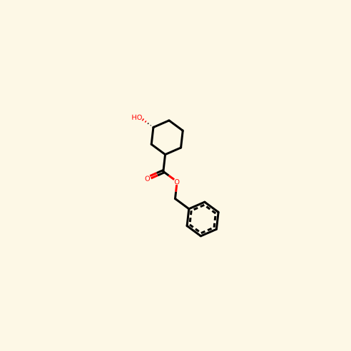 O=C(OCc1ccccc1)C1CCC[C@@H](O)C1